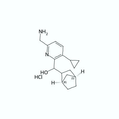 Cl.NCc1ccc(C2CC2)c(C(O)C2C[C@H]3CC[C@@H]2C3)n1